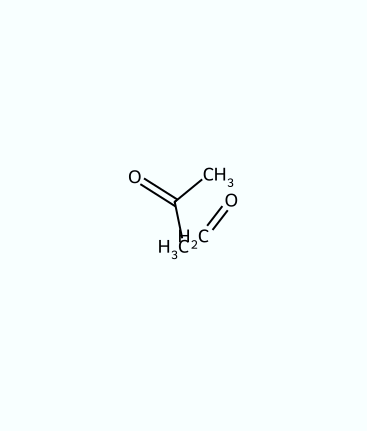 C=O.CC(C)=O